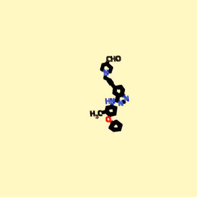 Cc1cc(Nc2ncnc3ccc(C#CCN4CCC(C=O)CC4)cc23)ccc1Oc1ccccc1